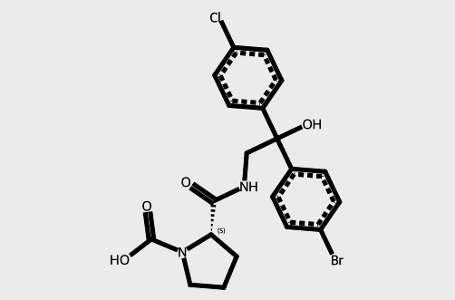 O=C(NCC(O)(c1ccc(Cl)cc1)c1ccc(Br)cc1)[C@@H]1CCCN1C(=O)O